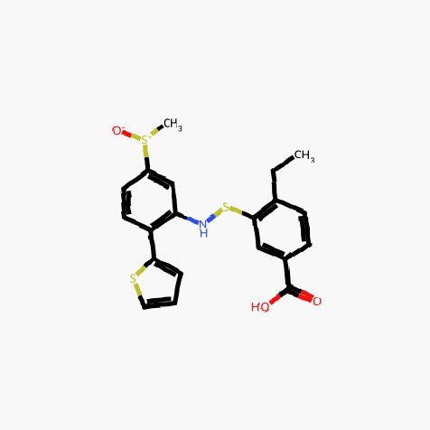 CCc1ccc(C(=O)O)cc1SNc1cc([S+](C)[O-])ccc1-c1cccs1